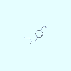 COc1ccc(OC(C)CBr)cc1